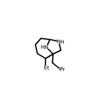 CCC1CCCC2NCC1(CC(C)C)N2